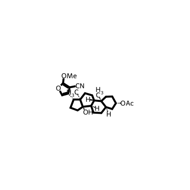 COc1occ([C@H]2CC[C@]3(O)[C@@H]4CC[C@@H]5C[C@@H](OC(C)=O)CC[C@]5(C)[C@H]4CC[C@]23C)c1C#N